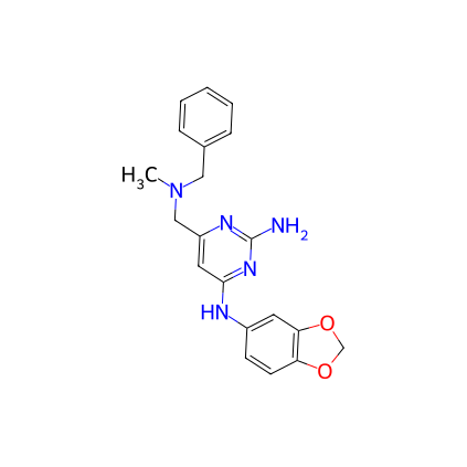 CN(Cc1ccccc1)Cc1cc(Nc2ccc3c(c2)OCO3)nc(N)n1